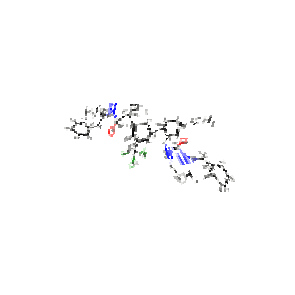 CCN(Cc1cc(C)ccc1-c1cc([C@H](C)C(=O)N[C@H](C)Cc2ccccc2)cc(C(F)(F)F)c1)C(=O)NCc1ccccc1